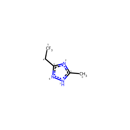 Cc1nc(CC(F)(F)F)n[nH]1